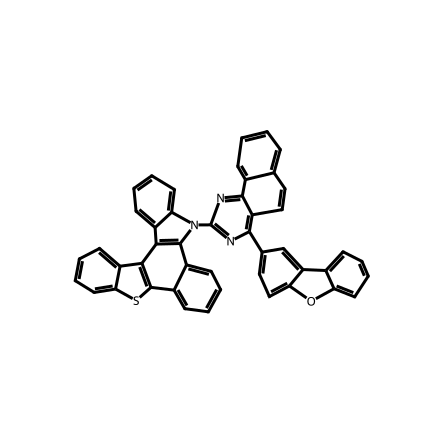 c1ccc2c(c1)ccc1c(-c3ccc4oc5ccccc5c4c3)nc(-n3c4ccccc4c4c5c6ccccc6sc5c5ccccc5c43)nc12